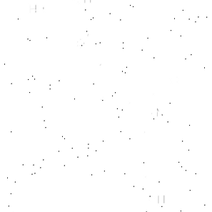 CC(C)COCc1ccc(C(=O)N2CC(CCO)C2)cc1